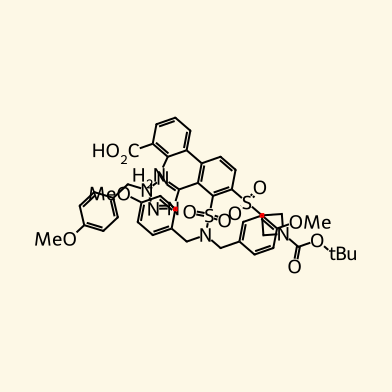 COc1ccc(CN(Cc2ccc(OC)cc2)S(=O)(=O)c2c(S(=O)(=O)C3CN(C(=O)OC(C)(C)C)C3)ccc(-c3cccc(C(=O)O)c3N)c2-c2nnn(Cc3ccc(OC)cc3)n2)cc1